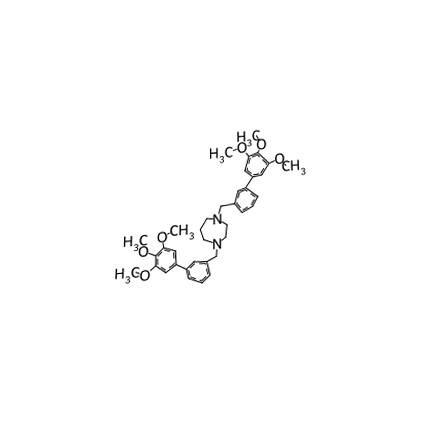 COc1cc(-c2cccc(CN3CCCN(Cc4cccc(-c5cc(OC)c(OC)c(OC)c5)c4)CC3)c2)cc(OC)c1OC